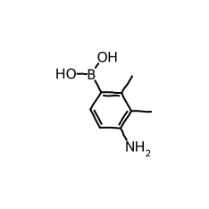 Cc1c(N)ccc(B(O)O)c1C